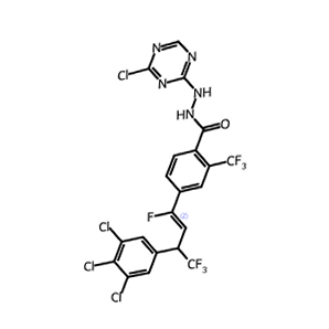 O=C(NNc1ncnc(Cl)n1)c1ccc(/C(F)=C/C(c2cc(Cl)c(Cl)c(Cl)c2)C(F)(F)F)cc1C(F)(F)F